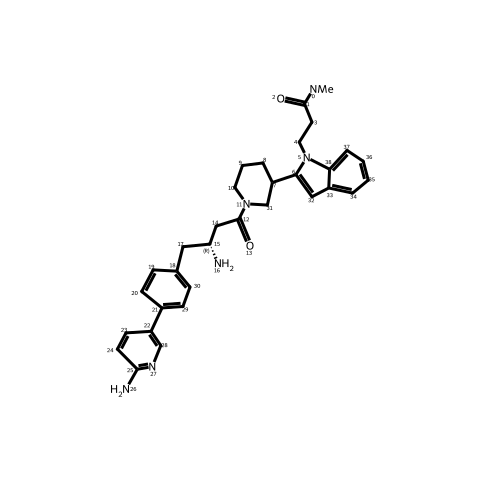 CNC(=O)CCn1c(C2CCCN(C(=O)C[C@H](N)Cc3ccc(-c4ccc(N)nc4)cc3)C2)cc2ccccc21